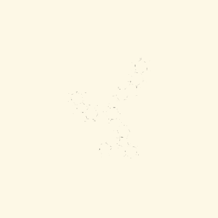 c1ccc(-n2c3ccccc3c3ccc(-c4nc(-c5ccc6c(c5)oc5cc7ccccc7cc56)nc(-c5ccc6sc7ccccc7c6c5)n4)cc32)cc1